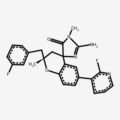 CN1C(=O)C2(C[C@@](C)(Cc3cccc(F)c3)Oc3ccc(-c4cccnc4F)cc32)N=C1N